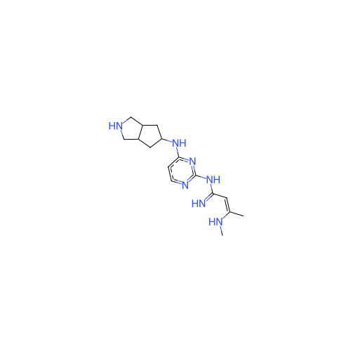 CN/C(C)=C\C(=N)Nc1nccc(NC2CC3CNCC3C2)n1